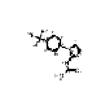 CC(=O)N=c1s[c]cn1-c1ccc(C(F)(F)F)cc1